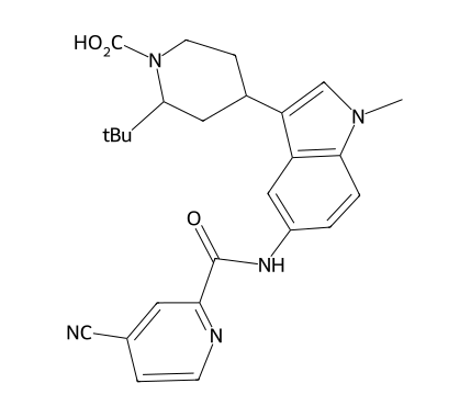 Cn1cc(C2CCN(C(=O)O)C(C(C)(C)C)C2)c2cc(NC(=O)c3cc(C#N)ccn3)ccc21